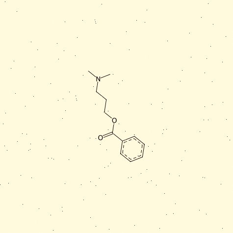 CN(C)CCCOC(=O)c1[c]cccc1